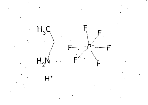 CCN.F[P-](F)(F)(F)(F)F.[H+]